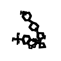 O=C(Nc1ccc(C(F)(F)F)cc1Cl)C1(n2cc(N3CCC(C4CCNCC4)CC3)cn2)CCC1